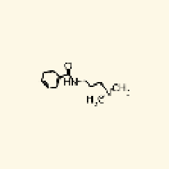 CN(C)CCCNC(=O)c1cc[c]cc1